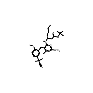 CCCC[C@@H](CC(=O)OC(C)(C)C)Nc1nc(N)nc(C)c1Cc1cc(C(C)(C)C#N)ccc1OC